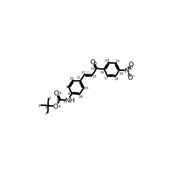 CC(C)(C)OC(=O)Nc1ccc(/C=C/C(=O)c2ccc([N+](=O)[O-])cc2)cc1